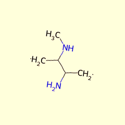 [CH2]C(N)C([CH2])NC